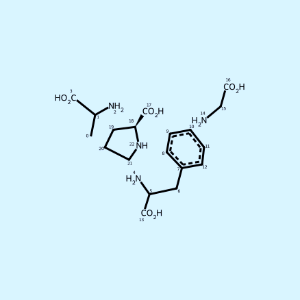 CC(N)C(=O)O.NC(Cc1ccccc1)C(=O)O.NCC(=O)O.O=C(O)[C@@H]1CCCN1